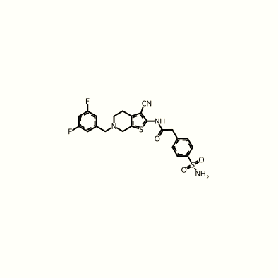 N#Cc1c(NC(=O)Cc2ccc(S(N)(=O)=O)cc2)sc2c1CCN(Cc1cc(F)cc(F)c1)C2